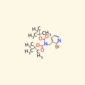 CC(C)(C)OC(=O)N(Cc1cccnc1Br)C(=O)OC(C)(C)C